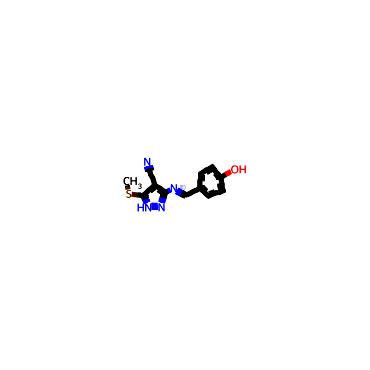 CSc1[nH]nc(/N=C/c2ccc(O)cc2)c1C#N